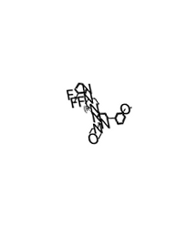 COc1cccc(-c2cc(N3CCN(c4ncccc4C(F)(F)F)C[C@H]3C)nc(N3CCOCC3)n2)c1